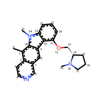 Cc1c2ccncc2cc2c3c(OC[C@@H]4CCCN4C)cccc3n(C)c12